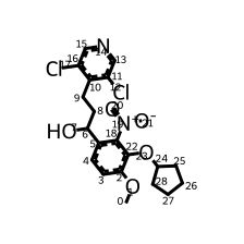 COc1ccc(C(O)CCc2c(Cl)cncc2Cl)c([N+](=O)[O-])c1OC1CCCC1